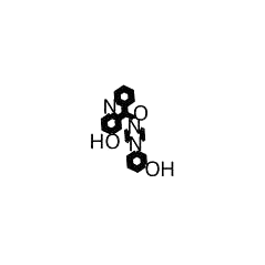 O=C(c1c2ccccc2nc2ccc(O)cc12)N1CCN(c2cccc(O)c2)CC1